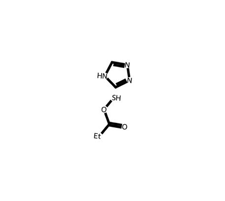 CCC(=O)OS.c1nnc[nH]1